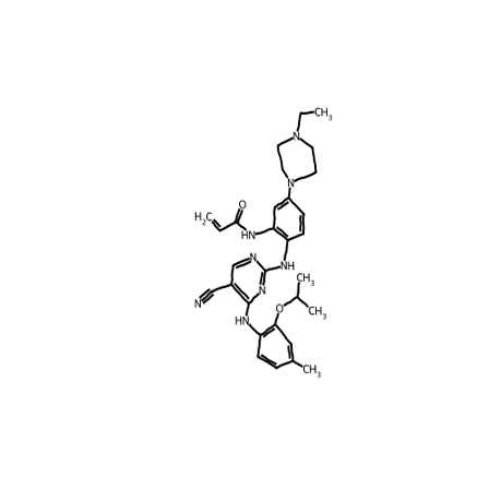 C=CC(=O)Nc1cc(N2CCN(CC)CC2)ccc1Nc1ncc(C#N)c(Nc2ccc(C)cc2OC(C)C)n1